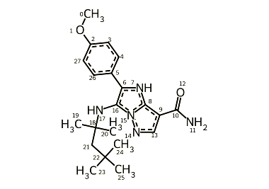 COc1ccc(-c2[nH]c3c(C(N)=O)cnn3c2NC(C)(C)CC(C)(C)C)cc1